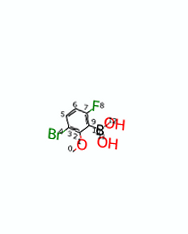 COc1c(Br)ccc(F)c1B(O)O